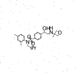 Cc1ccc(N(CC(C)C)S(=O)(=O)c2ccc(C(O)CNC3(C)COC3)cc2)c(C)c1